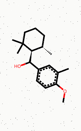 COc1ccc(C(O)[C@@H]2[C@@H](C)CCCC2(C)C)cc1C